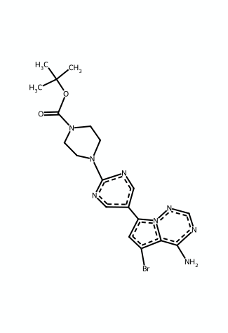 CC(C)(C)OC(=O)N1CCN(c2ncc(-c3cc(Br)c4c(N)ncnn34)cn2)CC1